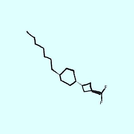 CCCCCCC[C@H]1CC[C@H](C2CC(=C(F)F)C2)CC1